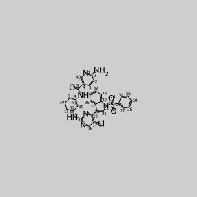 Nc1ccc(C(=O)N[C@H]2CCC[C@@H](Nc3ncc(Cl)c(-c4cn(S(=O)(=O)c5ccccc5)c5ccccc45)n3)C2)cn1